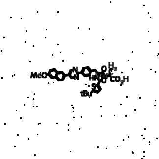 COc1ccc2cc(-c3cnc(-c4ccc(C[C@H](NC(=O)c5ccc(C(C)(C)C)s5)C(=O)N[C@H](C)C(=O)O)cc4)nc3)ccc2c1